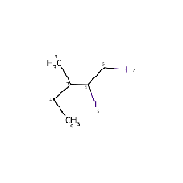 CCC(C)C(I)CI